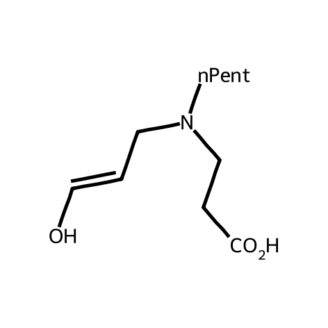 CCCCCN(CC=CO)CCC(=O)O